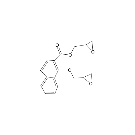 O=C(OCC1CO1)c1ccc2ccccc2c1OCC1CO1